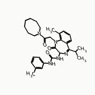 Cc1cccc(NC(=O)NC2N=C(C(C)C)c3cccc(C)c3N(CC(=O)N3CCCCCCC3)C2=O)c1